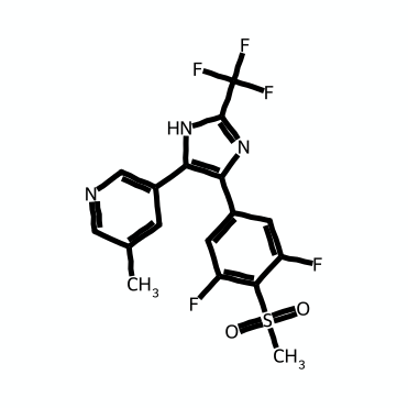 Cc1cncc(-c2[nH]c(C(F)(F)F)nc2-c2cc(F)c(S(C)(=O)=O)c(F)c2)c1